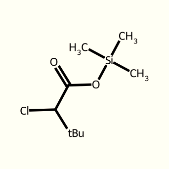 CC(C)(C)C(Cl)C(=O)O[Si](C)(C)C